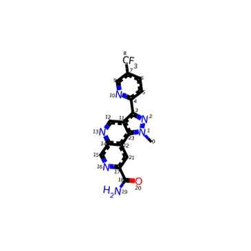 Cn1nc(-c2ccc(C(F)(F)F)cn2)c2cnc3cnc(C(N)=O)cc3c21